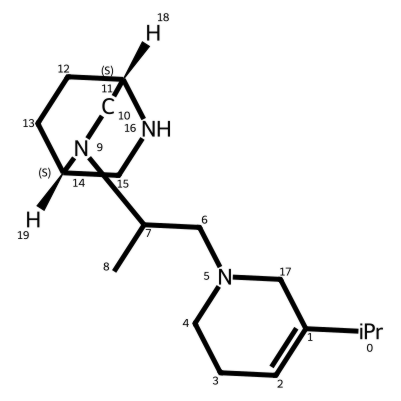 CC(C)C1=CCCN(CC(C)N2C[C@@H]3CC[C@H]2CN3)C1